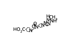 CC(=N)Nc1nccc(N2CCC(N3CC(CN4CCC(C(=O)O)CC4)OC3=O)CC2)n1